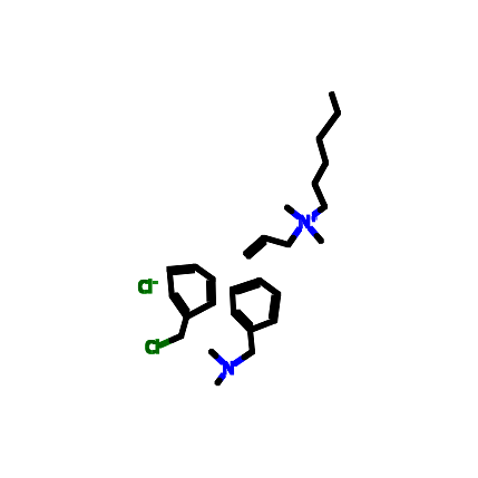 C=CC[N+](C)(C)CCCCCC.CN(C)Cc1ccccc1.ClCc1ccccc1.[Cl-]